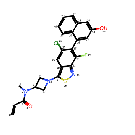 C=CC(=O)N(C)C1CN(c2snc3c(F)c(-c4cc(O)cc5ccccc45)c(Cl)cc23)C1